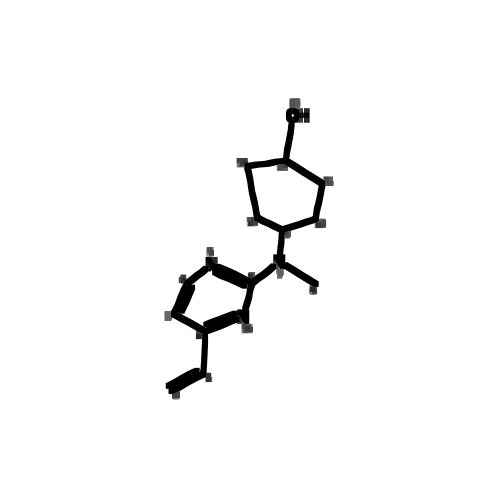 C=Cc1ccnc(N(C)C2CCC(O)CC2)n1